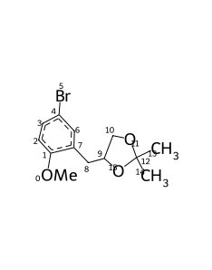 COc1ccc(Br)cc1CC1COC(C)(C)O1